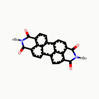 CCCCN1C(=O)c2ccc3c4ccc5c6c(ccc(c7ccc(c2c37)C1=O)c64)C(=O)N(CCCC)C5=O